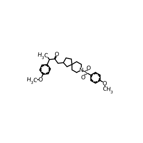 COc1ccc(C(C)C(=O)CC2CCC3(CCN(S(=O)(=O)c4ccc(OC)cc4)CC3)C2)cc1